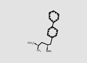 CCOC(=O)[C@H](C)C[C@@H](Cc1ccc(-c2ccccc2)cc1)NC